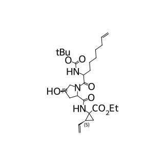 C=CCCCCCC(NC(=O)OC(C)(C)C)C(=O)N1C[C@H](O)CC1C(=O)NC1(C(=O)OCC)C[C@H]1C=C